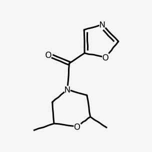 CC1CN(C(=O)c2cnco2)CC(C)O1